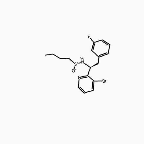 CCCC[S@+]([O-])N[C@@H](Cc1cccc(F)c1)c1ncccc1Br